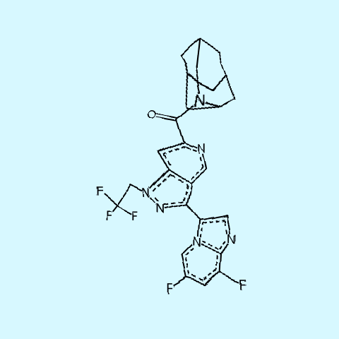 O=C(c1cc2c(cn1)c(-c1cnc3c(F)cc(F)cn13)nn2CC(F)(F)F)N1CC2CC3CC(C2)CC1C3